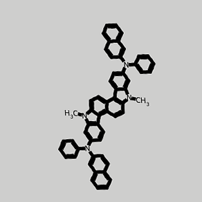 Cn1c2cc(N(c3ccccc3)c3ccc4ccccc4c3)ccc2c2c3ccc4c(c3ccc21)c1ccc(N(c2ccccc2)c2ccc3ccccc3c2)cc1n4C